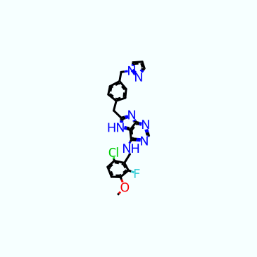 COc1ccc(Cl)c(CNc2ncnc3nc(Cc4ccc(Cn5cccn5)cc4)[nH]c23)c1F